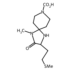 CSCCC1NC2(CCN(C(=O)O)CC2)N(C)C1=O